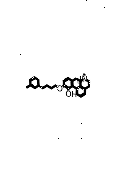 Cc1cccc(CCCCOc2ccc3c(c2O)-c2cccc4c2[C@@H](C3)N(C)CC4)c1